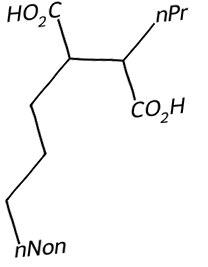 CCCCCCCCCCCCC(C(=O)O)C(CCC)C(=O)O